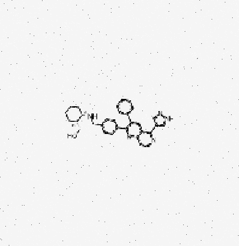 OC[C@@H]1CCCC[C@@H]1NCc1ccc(-c2nc3ccnc(-c4cn[nH]c4)c3cc2-c2ccccc2)cc1